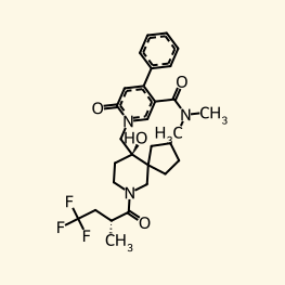 C[C@H](CC(F)(F)F)C(=O)N1CC[C@](O)(Cn2cc(C(=O)N(C)C)c(-c3ccccc3)cc2=O)C2(CCCC2)C1